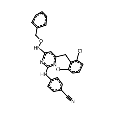 N#Cc1ccc(Nc2nc(Cc3c(Cl)cccc3Cl)cc(NOCc3ccccc3)n2)cc1